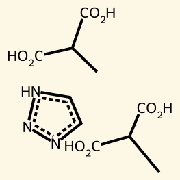 CC(C(=O)O)C(=O)O.CC(C(=O)O)C(=O)O.c1c[nH]nn1